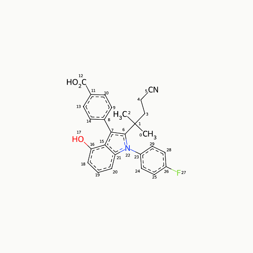 CC(C)(CCC#N)c1c(-c2ccc(C(=O)O)cc2)c2c(O)cccc2n1-c1ccc(F)cc1